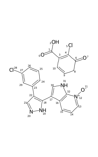 O=C(O)C1=C(Cl)C(=O)CC=C1.[O-][n+]1cccc2c(-c3[nH]ncc3-c3cccc(Cl)c3)c[nH]c21